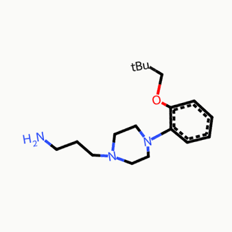 CC(C)(C)COc1ccccc1N1CCN(CCCN)CC1